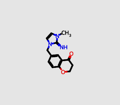 Cn1ccn(Cc2ccc3c(c2)C(=O)CCO3)c1=N